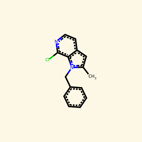 Cc1cc2ccnc(Cl)c2n1Cc1ccccc1